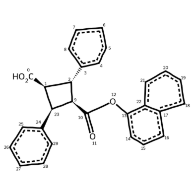 O=C(O)[C@H]1[C@H](c2ccccc2)[C@@H](C(=O)Oc2cccc3ccccc23)[C@H]1c1ccccc1